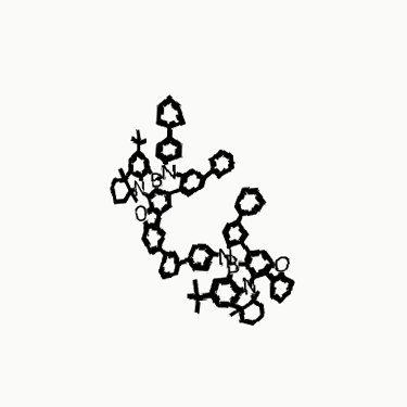 CC(C)(C)c1cc2c3c(c1)C1(C)CCCCC1(C)N3c1c3c(cc4c1oc1ccc(-c5cccc(-c6ccc(N7B8c9cc(C(C)(C)C)cc%10c9N(c9c8c(cc8oc%11ccccc%11c98)-c8cc(-c9ccccc9)ccc87)C7(C)CCCCC%107C)cc6)c5)cc14)-c1ccc(-c4ccccc4)cc1N(c1ccc(-c4ccccc4)cc1)B23